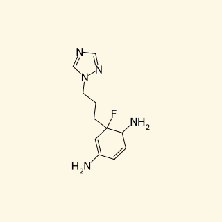 NC1=CC(F)(CCCn2cncn2)C(N)C=C1